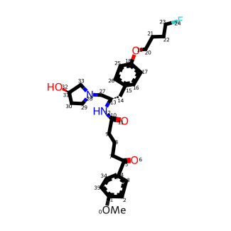 COc1ccc(C(=O)CCCC(=O)N[C@@H](Cc2ccc(OCCCCF)cc2)CN2CC[C@@H](O)C2)cc1